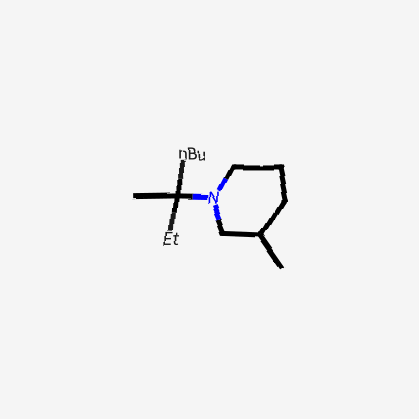 CCCCC(C)(CC)N1CCCC(C)C1